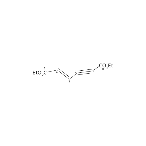 CCOC(=O)C#C/C=C/C(=O)OCC